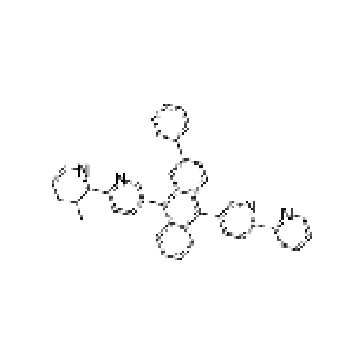 CC1CC=CN=C1c1ccc(-c2c3ccccc3c(-c3ccc(-c4ccccn4)nc3)c3ccc(-c4ccccc4)cc23)cn1